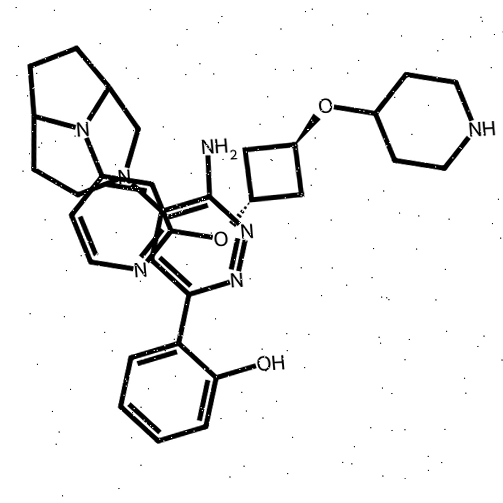 Nc1nnc(-c2ccccc2O)cc1N1CCC2CCC(C1)N2c1ccnc(O[C@H]2C[C@H](OC3CCNCC3)C2)c1